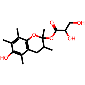 Cc1c(C)c2c(c(C)c1O)CC(C)C(C)(OC(=O)C(O)CO)O2